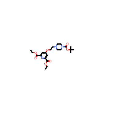 CCOC(=O)c1cc(OCCN2CCN(C(=O)OC(C)(C)C)CC2)cc(C(=O)OCC)n1